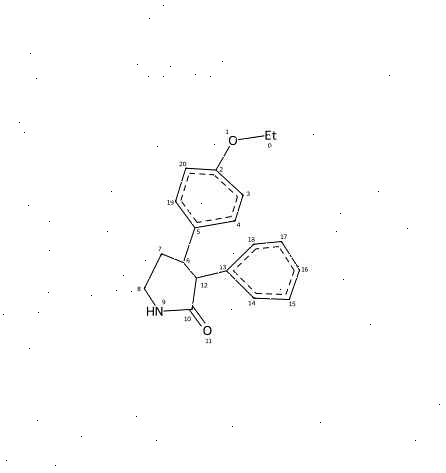 CCOc1ccc(C2CCNC(=O)C2c2ccccc2)cc1